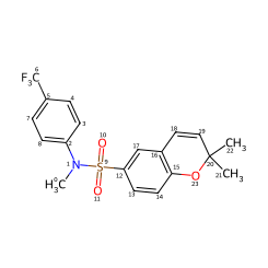 CN(c1ccc(C(F)(F)F)cc1)S(=O)(=O)c1ccc2c(c1)C=CC(C)(C)O2